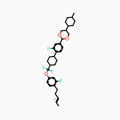 C/C=C/CCc1ccc(OC(F)(F)C2CCC(c3ccc(C4OCC(C5CCC(C)CC5)CO4)cc3F)CC2)cc1F